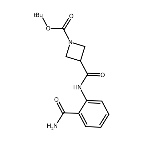 CC(C)(C)OC(=O)N1CC(C(=O)Nc2ccccc2C(N)=O)C1